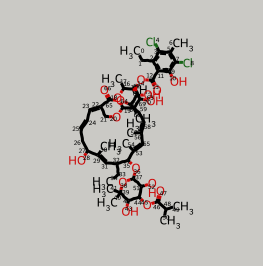 CCc1c(Cl)c(C)c(Cl)c(O)c1C(=O)OC1C(C)OC(OC/C2=C\C=C\CC(O)/C(C)=C/C(CC)C(OC3OC(C)(C)C(O)C(OC(=O)C(C)C)C3O)/C(C)=C/C(C)=C/CC(C(C)O)OC2=O)C(C)C1O